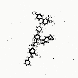 CC1(C)CCC(CN2CCN(c3ccc(C(=O)NS(=O)(=O)c4ccc(NCC5CCOCC5)c([N+](=O)[O-])c4)c(-n4ncc5nc6[nH]ccc6cc54)c3)CC2)=C(c2ccc(Cl)cc2)C1